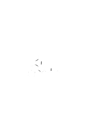 CCOC(=O)CN/N=C(\c1ccc(C)cc1N)C1CCCCC1